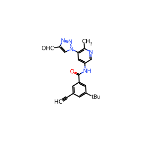 C#Cc1cc(C(=O)Nc2cnc(C)c(-n3cc(C=O)nn3)c2)cc(C(C)(C)C)c1